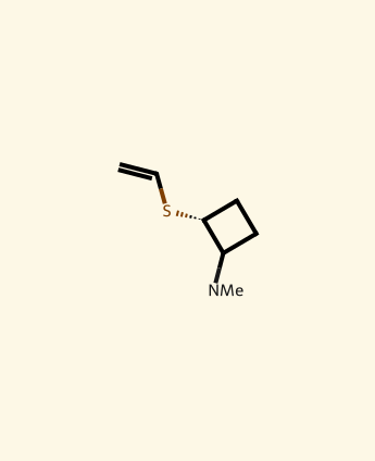 C=CS[C@@H]1CCC1NC